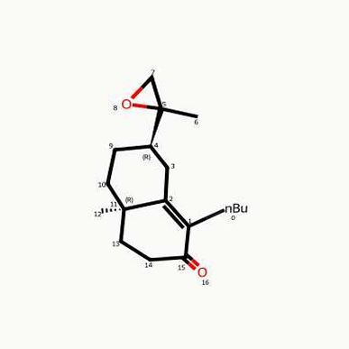 CCCCC1=C2C[C@H](C3(C)CO3)CC[C@]2(C)CCC1=O